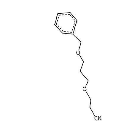 N#CCCOCCCOCc1ccccc1